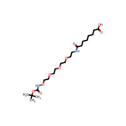 CC(C)(C)OC(=O)NOCCOCCOCCOCCNC(=O)CCCCCCC(=O)O